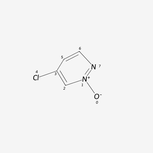 [O-][n+]1cc(Cl)ccn1